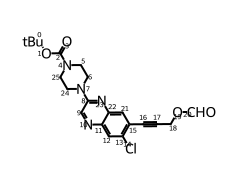 CC(C)(C)OC(=O)N1CCN(c2cnc3cc(Cl)c(C#CCOC=O)cc3n2)CC1